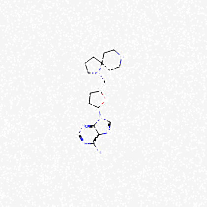 Nc1ncnc2c1ncn2[C@H]1CC[C@@H](CN2CCCC23CCNCC3)O1